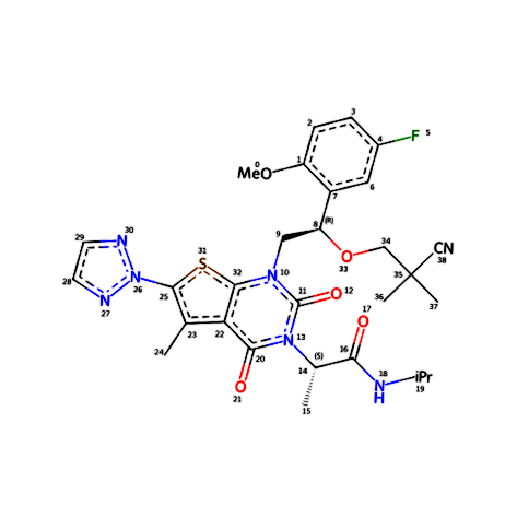 COc1ccc(F)cc1[C@H](Cn1c(=O)n([C@@H](C)C(=O)NC(C)C)c(=O)c2c(C)c(-n3nccn3)sc21)OCC(C)(C)C#N